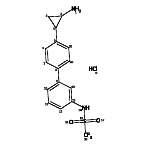 Cl.NC1CC1c1ccc(-c2cccc(NS(=O)(=O)C(F)(F)F)c2)cc1